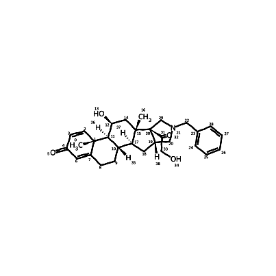 C[C@]12C=CC(=O)C=C1CC[C@@H]1[C@@H]2[C@@H](O)C[C@@]2(C)[C@H]1C[C@H]1CN(Cc3ccccc3)C[C@]12C(=O)CO